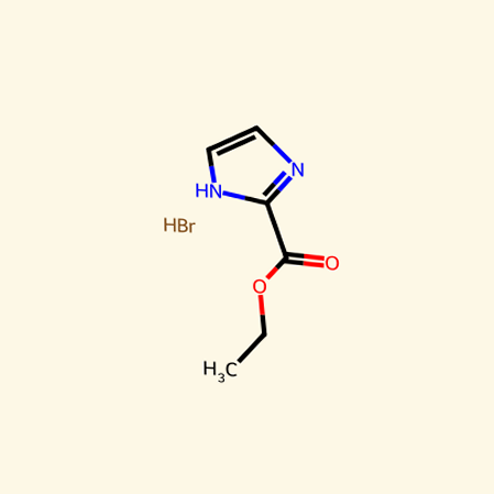 Br.CCOC(=O)c1ncc[nH]1